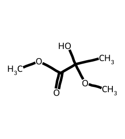 COC(=O)C(C)(O)OC